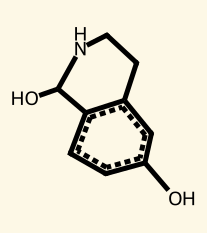 Oc1ccc2c(c1)CCNC2O